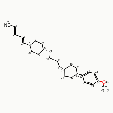 N#CC=CC=C[C@H]1CC[C@H](CCCC[C@H]2CC[C@H](c3ccc(OC(F)(F)F)cc3)CC2)CC1